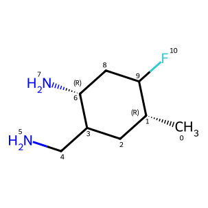 C[C@@H]1CC(CN)[C@H](N)CC1F